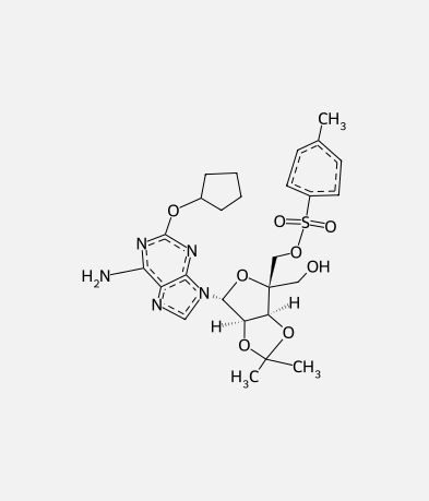 Cc1ccc(S(=O)(=O)OC[C@]2(CO)O[C@@H](n3cnc4c(N)nc(OC5CCCC5)nc43)[C@@H]3OC(C)(C)O[C@@H]32)cc1